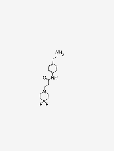 NCCc1ccc(NC(=O)CCN2CCC(F)(F)CC2)cc1